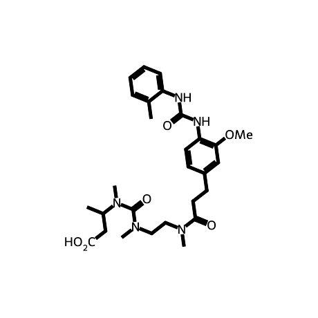 COc1cc(CCC(=O)N(C)CCN(C)C(=O)N(C)C(C)CC(=O)O)ccc1NC(=O)Nc1ccccc1C